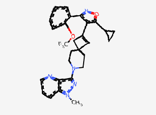 Cn1nc(N2CCC3(C=C(c4c(-c5ccccc5OC(F)(F)F)noc4C4CC4)C3)CC2)c2ncccc21